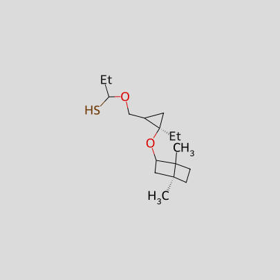 CCC(S)OCC1C[C@@]1(CC)OC1C[C@]2(C)CCC12C